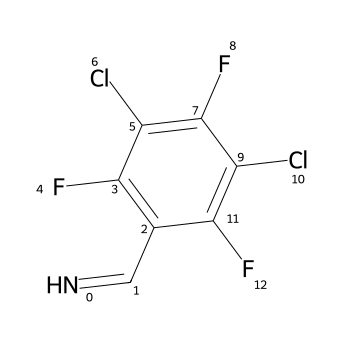 N=Cc1c(F)c(Cl)c(F)c(Cl)c1F